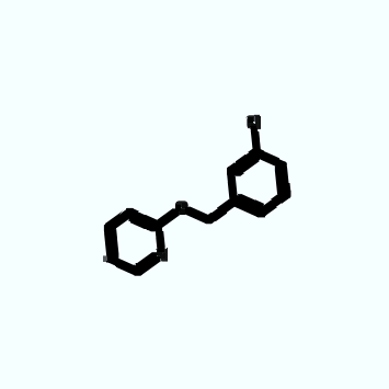 Clc1cccc(COc2cc[c]cn2)c1